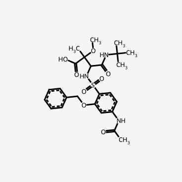 COC(C)(C(=O)O)C(NS(=O)(=O)c1ccc(NC(C)=O)cc1OCc1ccccc1)C(=O)NC(C)(C)C